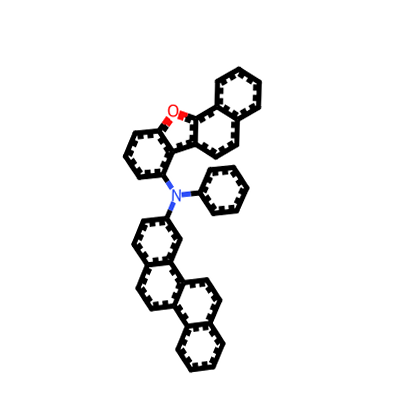 c1ccc(N(c2ccc3ccc4c5ccccc5ccc4c3c2)c2cccc3oc4c5ccccc5ccc4c23)cc1